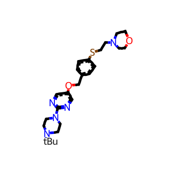 CC(C)(C)N1CCN(c2ncc(OCc3ccc(SCCN4CCOCC4)cc3)cn2)CC1